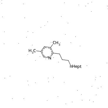 CCCCCCCCCCc1ncc(C)cc1C